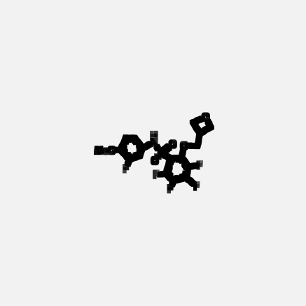 COc1ccc(NS(=O)(=O)c2c(F)c(F)c(F)c(F)c2OCC2COC2)cc1F